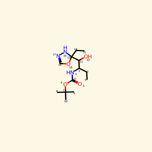 CCC(NC(=O)OC(C)(C)C)C(O)C1(CC)NN=CO1